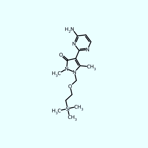 Cc1c(-c2nccc(N)n2)c(=O)n(C)n1COCC[Si](C)(C)C